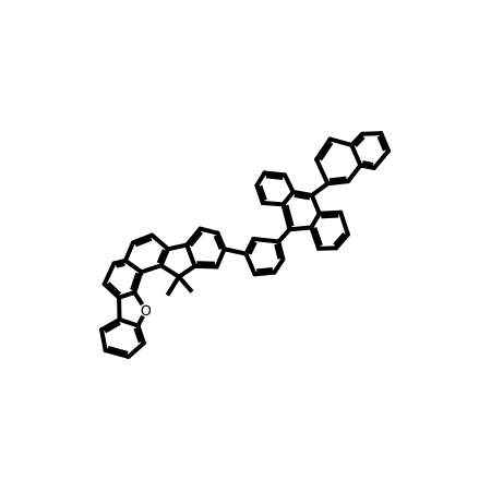 CC1(C)c2cc(-c3cccc(-c4c5ccccc5c(-c5ccc6ccccc6c5)c5ccccc45)c3)ccc2-c2ccc3ccc4c5ccccc5oc4c3c21